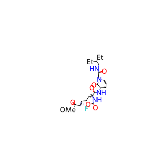 CCC(CC)CNC(=O)Cn1cccc(NC(=O)[C@H](CC/C=C/C(=O)OC)NC(=O)OF)c1=O